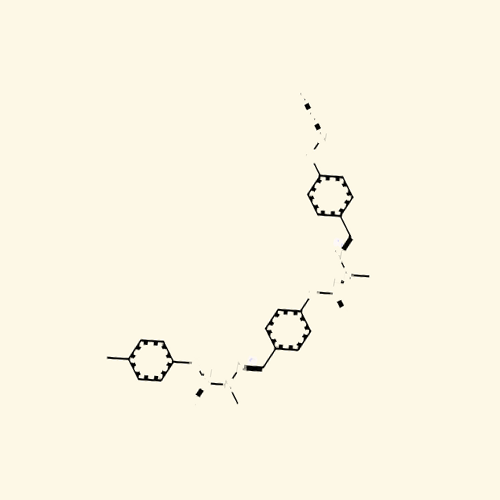 Cc1ccc(O[PH](=S)N(C)/N=C/c2ccc(O[PH](=S)N(C)/N=C/c3ccc(ON=[N+]=[N-])cc3)cc2)cc1